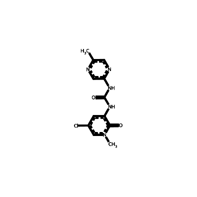 Cc1cnc(NC(=O)Nc2cc(Cl)cn(C)c2=O)cn1